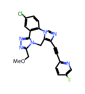 COCc1nnc2n1Cc1c(C#Cc3ccc(F)cn3)ncn1-c1ccc(Cl)cc1-2